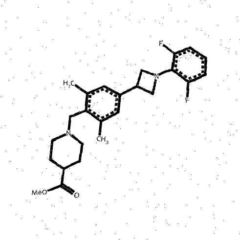 COC(=O)C1CCN(Cc2c(C)cc(C3CN(c4c(F)cccc4F)C3)cc2C)CC1